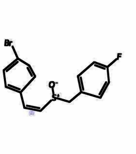 [O-][S+](/C=C\c1ccc(Br)cc1)Cc1ccc(F)cc1